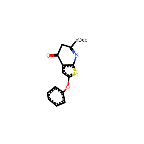 CCCCCCCCCCC1=Nc2sc(Oc3ccccc3)cc2C(=O)C1